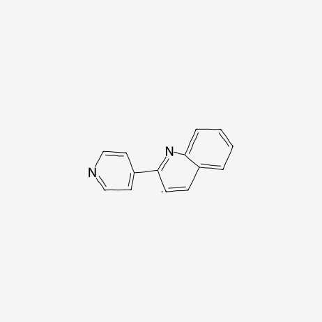 [c]1cc2ccccc2nc1-c1ccncc1